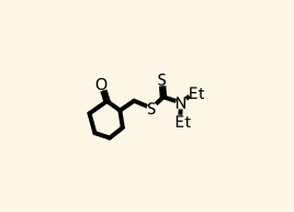 CCN(CC)C(=S)SCC1CCCCC1=O